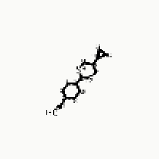 C#CC1CCC(C2SCC(C3CC3)CS2)CC1